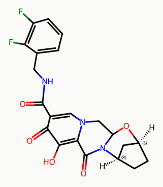 O=C(NCc1cccc(F)c1F)c1cn2c(c(O)c1=O)C(=O)N1C(C2)O[C@H]2CC[C@@H]1C2